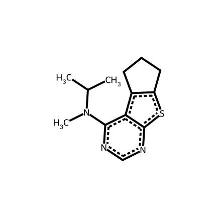 CC(C)N(C)c1ncnc2sc3c(c12)CCC3